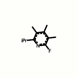 Cc1c(F)nc(C(C)C)c(C)c1C